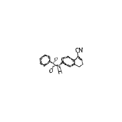 N#CC1=CCCc2cc(NS(=O)(=O)c3ccccc3)ccc21